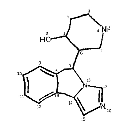 OC1CCNCC1C1c2ccccc2-c2cncn21